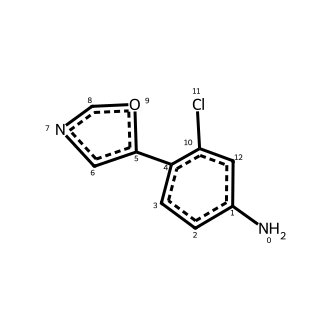 Nc1ccc(-c2cnco2)c(Cl)c1